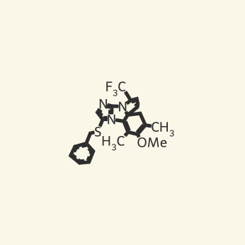 COC1=C(C)CC23C=CC=C(C(F)(F)F)N2c2ncc(SCc4ccccc4)n2C3=C1C